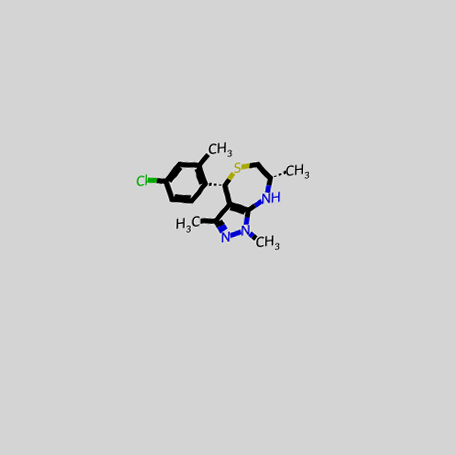 Cc1cc(Cl)ccc1[C@@H]1SC[C@H](C)Nc2c1c(C)nn2C